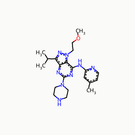 COCCn1nc(C(C)C)c2nc(N3CCNCC3)nc(Nc3cc(C)ccn3)c21